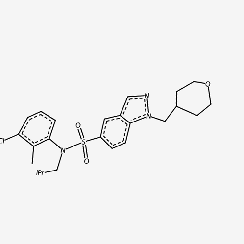 Cc1c(Cl)cccc1N(CC(C)C)S(=O)(=O)c1ccc2c(cnn2CC2CCOCC2)c1